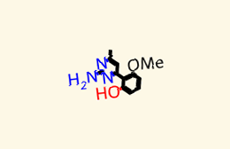 COc1cccc(O)c1-c1cc(C)nc(N)n1